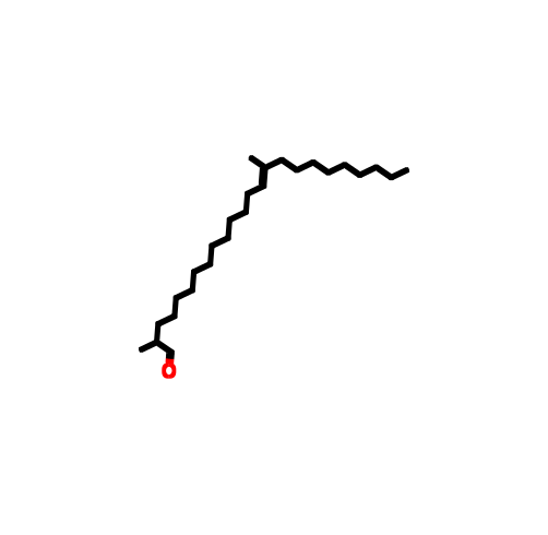 CCCCCCCCCC(C)=CCCCCCCCCCCCC(C)C=O